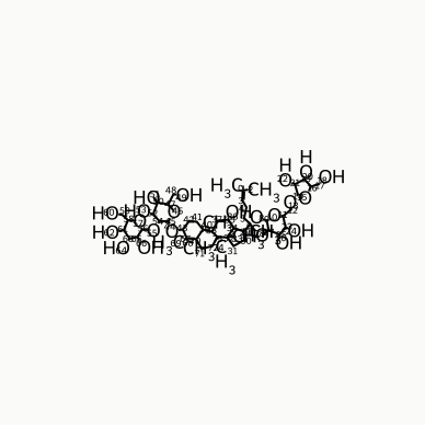 CC(C)=CCCC(C)(OC1OC(COC2OC(CO)C(O)C2O)C(O)C(O)C1O)C1CCC2(C)C1C(O)CC1C3(C)CCC(OC4OC(CO)C(O)C(O)C4OC4OC(CO)C(O)C(O)C4O)C(C)(C)C3CCC12C